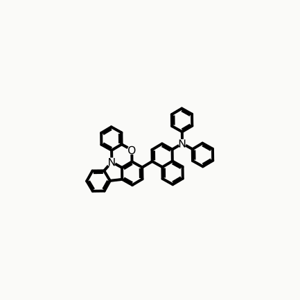 c1ccc(N(c2ccccc2)c2ccc(-c3ccc4c5ccccc5n5c4c3Oc3ccccc3-5)c3ccccc23)cc1